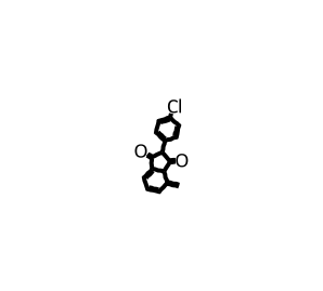 C=C1C=CC=C2C(=O)C(c3ccc(Cl)cc3)C(=O)C12